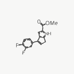 COC(=O)c1cc2c([nH]1)CC=C2c1ccc(F)c(F)c1